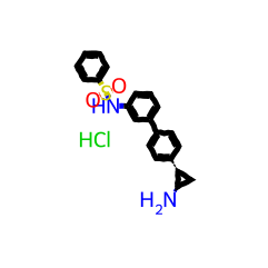 Cl.N[C@@H]1C[C@H]1c1ccc(-c2cccc(NS(=O)(=O)c3ccccc3)c2)cc1